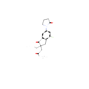 COC(=O)CC1(CC(=O)O)Cc2c(F)cc(N3CCCC3=O)cc2C1=O